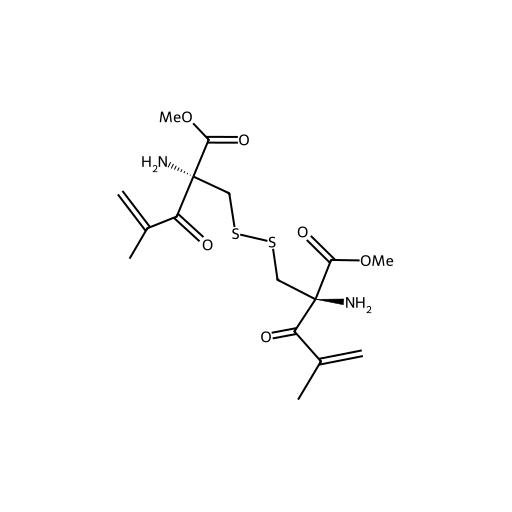 C=C(C)C(=O)[C@](N)(CSSC[C@](N)(C(=O)OC)C(=O)C(=C)C)C(=O)OC